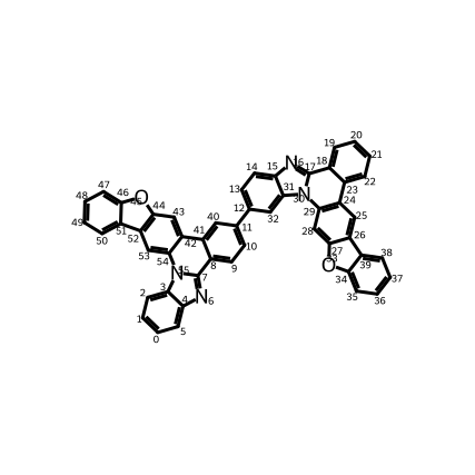 c1ccc2c(c1)nc1c3ccc(-c4ccc5nc6c7ccccc7c7cc8c(cc7n6c5c4)oc4ccccc48)cc3c3cc4oc5ccccc5c4cc3n21